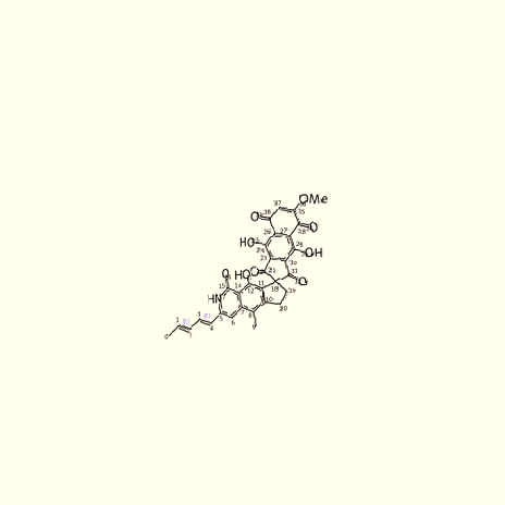 C/C=C/C=C/c1cc2c(C)c3c(c(O)c2c(=O)[nH]1)C1(CC3)C(=O)c2c(O)c3c(c(O)c2C1=O)C(=O)C(OC)=CC3=O